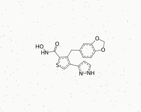 O=C(NO)c1scc(-c2cc[nH]n2)c1Cc1ccc2c(c1)OCO2